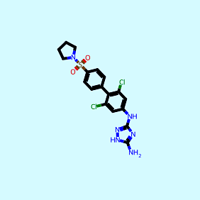 Nc1nc(Nc2cc(Cl)c(-c3ccc(S(=O)(=O)N4CCCC4)cc3)c(Cl)c2)n[nH]1